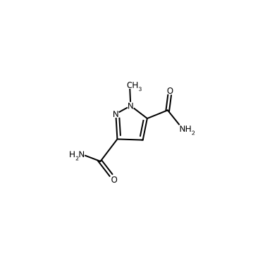 Cn1nc(C(N)=O)cc1C(N)=O